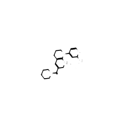 CNC1C=C(N2CCCC3=C2NCC(C(=O)N2CCCCC2)=C3)C=CN1